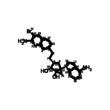 Nc1nc2cc(CC[C@H]3C[C@]4(n5ccc6c(N)ncnc65)C[C@]4(O)[C@@H]3O)ccc2cc1Br